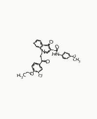 CCOc1ccc(C(=O)Cn2cc(C(=O)Nc3ccc(OC)cc3)c(=O)c3ccccc32)cc1Cl